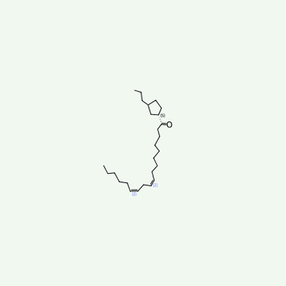 CCCCC/C=C\C/C=C\CCCCCCCC(=O)[C@H]1CCC(CCC)C1